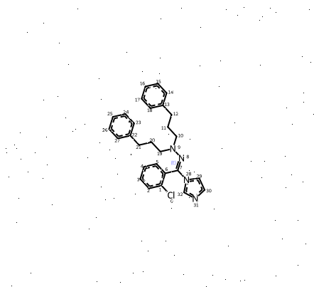 Clc1ccccc1/C(=N\N(CCCc1ccccc1)CCCc1ccccc1)n1ccnc1